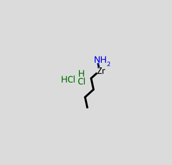 CCC[CH2][Zr][NH2].Cl.Cl